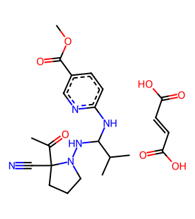 COC(=O)c1ccc(NC(NN2CCCC2(C#N)C(C)=O)C(C)C)nc1.O=C(O)C=CC(=O)O